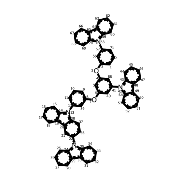 c1cc(Oc2cc(Oc3cccc(-n4c5ccccc5c5cc(-n6c7ccccc7c7ccccc76)ccc54)c3)cc(-n3c4ccccc4c4ccccc43)c2)cc(-n2c3ccccc3c3ccccc32)c1